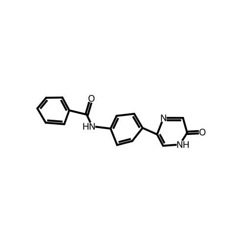 O=C(Nc1ccc(-c2c[nH]c(=O)cn2)cc1)c1ccccc1